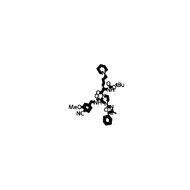 COc1cc(CNC(=O)[C@@H]2CN(C3=N[C@@H](C)[C@H](c4ccccc4)O3)CCN2C(=O)[C@@H](CCCCN2CCCCC2)NC(=O)OC(C)(C)C)ccc1C#N